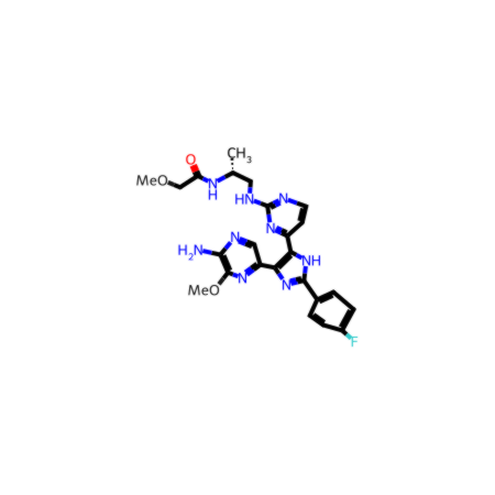 COCC(=O)N[C@H](C)CNc1nccc(-c2[nH]c(-c3ccc(F)cc3)nc2-c2cnc(N)c(OC)n2)n1